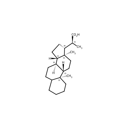 C[C@H](C(=O)O)[C@H]1CC[C@H]2[C@@H]3CCC4CCCC[C@]4(C)[C@H]3CC[C@]12C